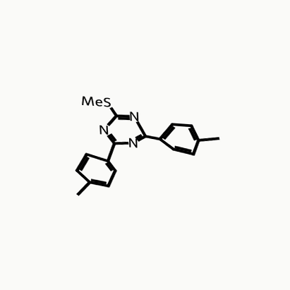 CSc1nc(-c2ccc(C)cc2)nc(-c2ccc(C)cc2)n1